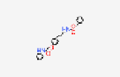 O=C(COc1ccc(CCCCNC(=O)OCc2ccccc2)cc1)Nc1ccccc1